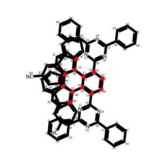 N#Cc1ccc2c(c1)c1ccccc1n2-c1c(-c2nc(-c3ccccc3)nc(-c3ccccc3)n2)cccc1-c1ccccc1-c1ccccc1-c1cccc(-c2nc(-c3ccccc3)nc(-c3ccccc3)n2)c1-n1c2ccccc2c2cc(C#N)ccc21